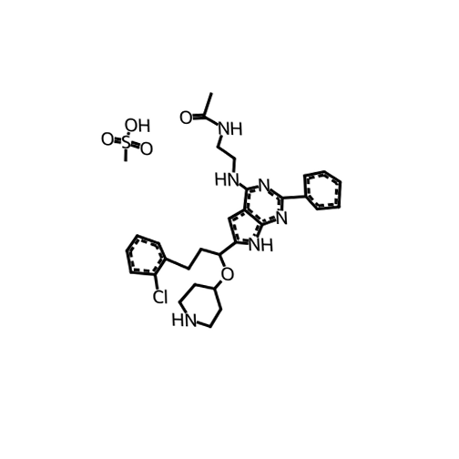 CC(=O)NCCNc1nc(-c2ccccc2)nc2[nH]c(C(CCc3ccccc3Cl)OC3CCNCC3)cc12.CS(=O)(=O)O